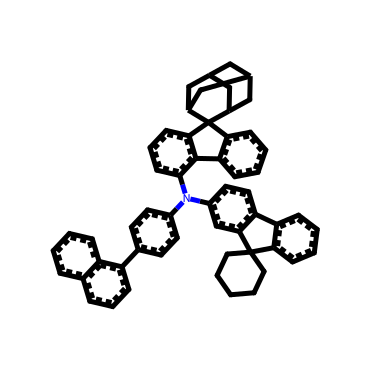 c1ccc2c(c1)-c1ccc(N(c3ccc(-c4cccc5ccccc45)cc3)c3cccc4c3-c3ccccc3C43C4CC5CC(C4)CC3C5)cc1C21CCCCC1